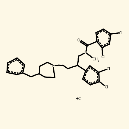 CN(CC(CCN1CCC(Cc2ccccc2)CC1)c1ccc(Cl)c(Cl)c1)C(=O)c1ccc(Cl)cc1Cl.Cl